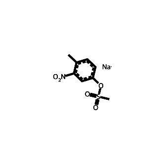 Cc1ccc(OS(C)(=O)=O)cc1[N+](=O)[O-].[Na]